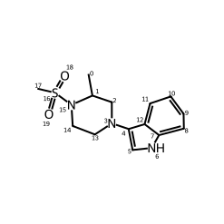 CC1CN(c2c[nH]c3ccccc23)CCN1S(C)(=O)=O